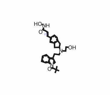 CC(C)(C)C(=O)n1cc(CCN(CCO)C2Cc3ccc(/C=C/C(=O)NO)cc3C2)c2ccccc21